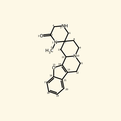 CN1C(=O)CNCC12CCN1CCc3c(oc4ccccc34)C1C2